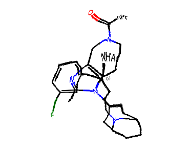 CCCC(=O)N1CCc2c(nc(C)n2C2CC3CCC(C2)N3CC[C@H](NC(C)=O)c2cccc(F)c2)C1